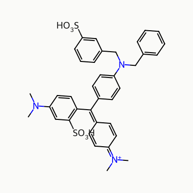 CN(C)c1ccc(C(=C2C=CC(=[N+](C)C)C=C2)c2ccc(N(Cc3ccccc3)Cc3cccc(S(=O)(=O)O)c3)cc2)c(S(=O)(=O)O)c1